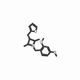 COc1ccc(CN2C(C)C(Cc3ccco3)C2C)c(OC)c1